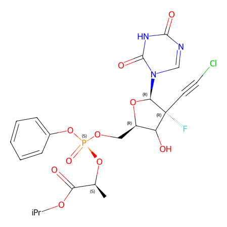 CC(C)OC(=O)[C@H](C)O[P@](=O)(OC[C@H]1O[C@@H](n2cnc(=O)[nH]c2=O)[C@@](F)(C#CCl)C1O)Oc1ccccc1